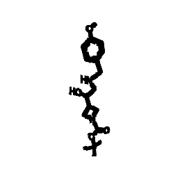 COc1ccc(CNCC(O)C2CN(C(=O)OC(C)(C)C)C2)cc1